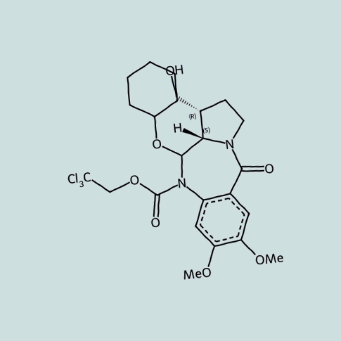 COc1cc2c(cc1OC)N(C(=O)OCC(Cl)(Cl)Cl)C(OC1CCCCC1)[C@@H]1[C@H](CO)CCN1C2=O